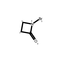 O=C1CCN1Br